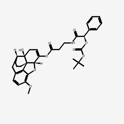 COc1ccc2c3c1O[C@H]1C(OC(=O)CCNC(=O)[C@H](OC(=O)OC(C)(C)C)c4ccccc4)=CC[C@@]4(O)[C@H](CCC[C@]314)C2